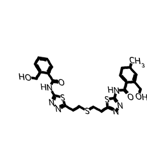 CC1C=C(CO)C(C(=O)Nc2nnc(CCSCCc3nnc(NC(=O)c4ccccc4CO)s3)s2)=CC1